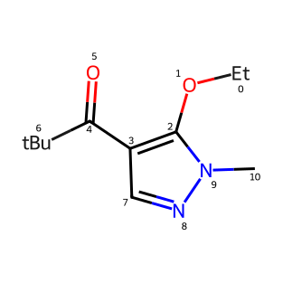 CCOc1c(C(=O)C(C)(C)C)cnn1C